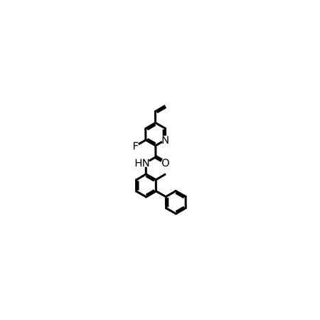 C=Cc1cnc(C(=O)Nc2cccc(-c3ccccc3)c2C)c(F)c1